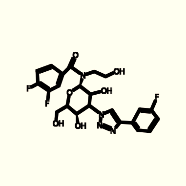 O=C(c1ccc(F)c(F)c1)N(CCO)[C@@H]1OC(CO)[C@H](O)C(n2cc(-c3cccc(F)c3)nn2)C1O